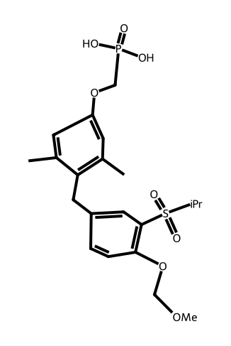 COCOc1ccc(Cc2c(C)cc(OCP(=O)(O)O)cc2C)cc1S(=O)(=O)C(C)C